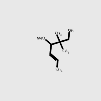 CC=CC(OC)C(C)(C)CO